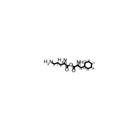 NCCC[C@@H](N)C(=O)OC(=O)[C@@H](N)CC1CCCCC1